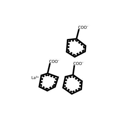 O=C([O-])c1ccccc1.O=C([O-])c1ccccc1.O=C([O-])c1ccccc1.[La+3]